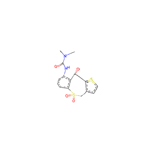 CN(C)C(=O)Nc1cccc2c1C(=O)c1sccc1CS2(=O)=O